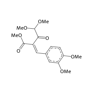 COC(=O)C(=Cc1ccc(OC)c(OC)c1)C(=O)C(OC)OC